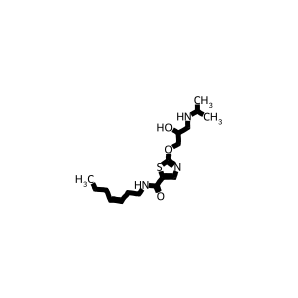 CCC/C=C\CCNC(=O)c1cnc(OCC(O)CNC(C)C)s1